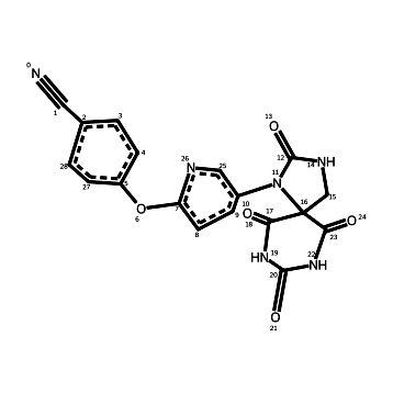 N#Cc1ccc(Oc2ccc(N3C(=O)NCC34C(=O)NC(=O)NC4=O)cn2)cc1